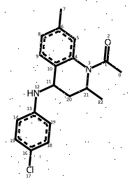 CC(=O)N1c2cc(C)ccc2C(Nc2ccc(Cl)cc2)CC1C